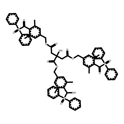 Cc1cc(COC(=O)CC(O)(CC(=O)OCc2cc(C)c(C(=O)P(=O)(c3ccccc3)c3ccccc3)c(C)c2)C(=O)OCc2cc(C)c(C(O)P(=O)(c3ccccc3)c3ccccc3)c(C)c2)cc(C)c1C(=O)P(=O)(c1ccccc1)c1ccccc1